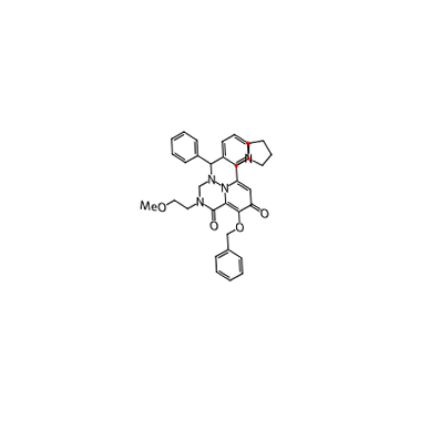 COCCN1CN(C(c2ccccc2)c2ccccc2)n2c(CN3CCCC3)cc(=O)c(OCc3ccccc3)c2C1=O